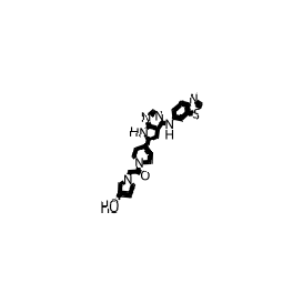 O=C(CN1CCC(O)C1)N1CC=C(C2Cc3c(Nc4ccc5ncsc5c4)ncnc3N2)CC1